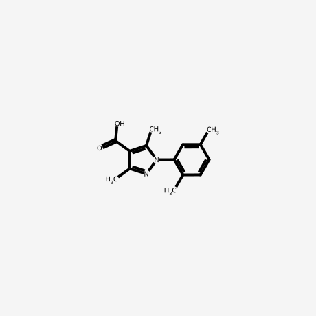 Cc1ccc(C)c(-n2nc(C)c(C(=O)O)c2C)c1